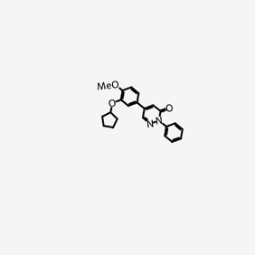 COc1ccc(-c2cnn(-c3ccccc3)c(=O)c2)cc1OC1CCCC1